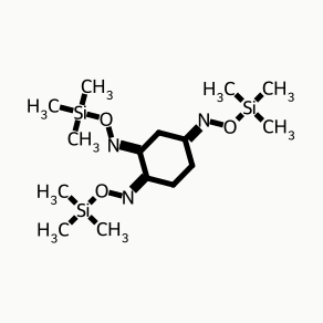 C[Si](C)(C)ON=C1CCC(=NO[Si](C)(C)C)C(=NO[Si](C)(C)C)C1